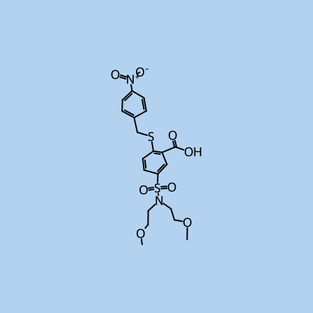 COCCN(CCOC)S(=O)(=O)c1ccc(SCc2ccc([N+](=O)[O-])cc2)c(C(=O)O)c1